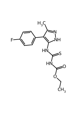 CCOC(=O)NC(=S)Nc1[nH]nc(C)c1-c1ccc(F)cc1